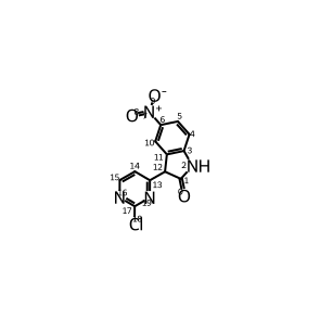 O=C1Nc2ccc([N+](=O)[O-])cc2C1c1ccnc(Cl)n1